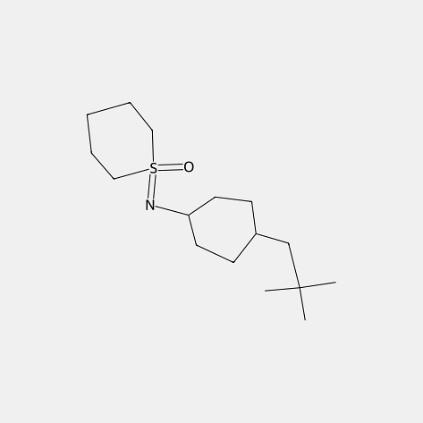 CC(C)(C)CC1CCC(N=S2(=O)CCCCC2)CC1